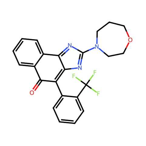 O=C1C(c2ccccc2C(F)(F)F)=C2N=C(N3CCCOCC3)N=C2c2ccccc21